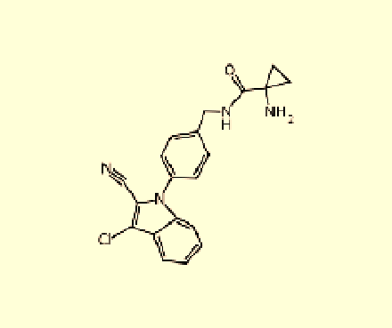 N#Cc1c(Cl)c2ccccc2n1-c1ccc(CNC(=O)C2(N)CC2)cc1